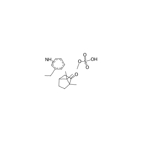 CC12CCC(CC1=O)C2(C)C.CCc1ccccc1.COS(=O)(=O)O.N